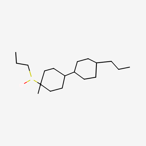 CCCC1CCC(C2CCC(C)([S+]([O-])CCC)CC2)CC1